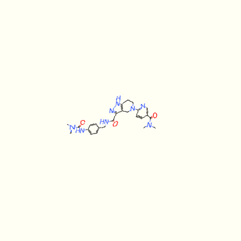 CN(C)C(=O)Nc1ccc(CNC(=O)c2n[nH]c3c2CN(c2ccc(C(=O)N(C)C)cn2)CC3)cc1